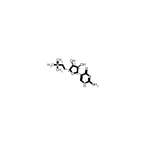 C=P(C)(C)CC[C@H]1O[C@@H](c2c[nH]c(N)nc2=O)[C@H](O)[C@@H]1O